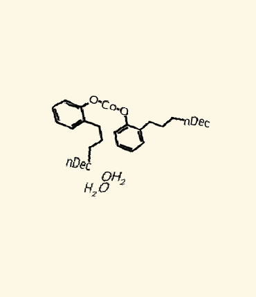 CCCCCCCCCCCCCc1ccccc1[O][Co][O]c1ccccc1CCCCCCCCCCCCC.O.O